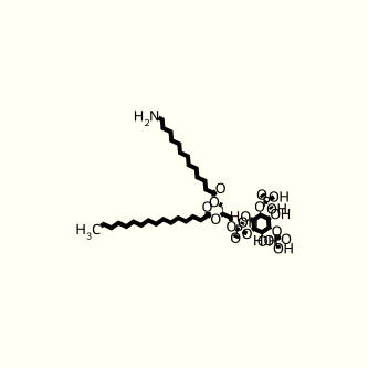 CCCCCCCCCCCCCCCC(=O)O[C@H](COC(=O)CCCCCCCCCCCCN)COP(=O)(O)OC1C(O)[C@H](OP(=O)(O)O)C(O)[C@H](OP(=O)(O)O)[C@@H]1O